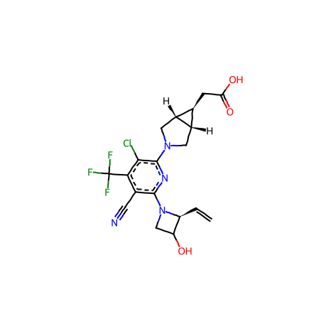 C=C[C@H]1C(O)CN1c1nc(N2C[C@@H]3[C@@H](CC(=O)O)[C@@H]3C2)c(Cl)c(C(F)(F)F)c1C#N